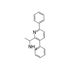 CC(N)c1nc(-c2ccccc2)ccc1-c1ccccc1